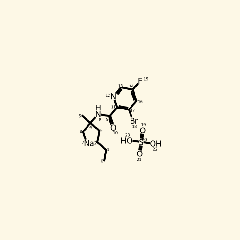 CCCCC(C)([CH2][Na])NC(=O)c1ncc(F)cc1Br.O=S(=O)(O)O